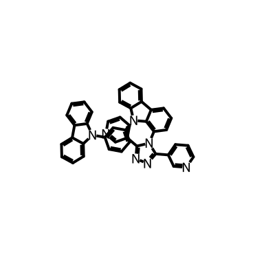 c1cncc(-c2nnc(-c3cccnc3)n2-c2cccc3c4ccccc4n(-c4cccc(-n5c6ccccc6c6ccccc65)c4)c23)c1